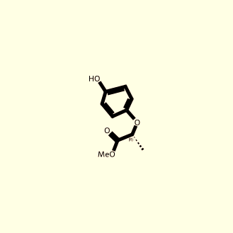 COC(=O)[C@@H](C)Oc1ccc(O)cc1